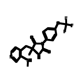 CNc1cnccc1CC1(C)NC(=O)N(c2ccc(OC(F)(F)F)cc2)C1=O